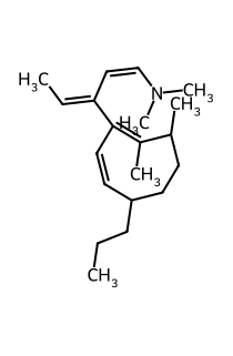 C/C=C(\C=C/N(C)C)C1=C(/C)C(C)CCC(CCC)/C=C\1